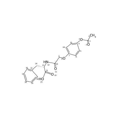 CC(=O)Oc1ccc(OCC(=O)N[C@@H](Cc2ccccc2)C(=O)O)cc1